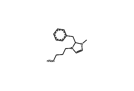 CCCCCCCCCCCCN1C=CN(C)C1Cc1ccccc1